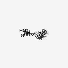 COC[C@H]1C[C@@H](c2ncc(-c3ccc4c(c3)COc3cc5c(ccc6nc([C@@H]7C=CC(C)=CN7C(=O)[C@@H](NC(=O)OC)C(C)C)[nH]c65)cc3-4)[nH]2)N(C(=O)O)C1